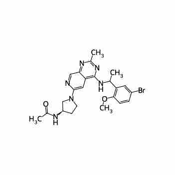 COc1ccc(Br)cc1C(C)Nc1nc(C)nc2cnc(N3CC[C@@H](NC(C)=O)C3)cc12